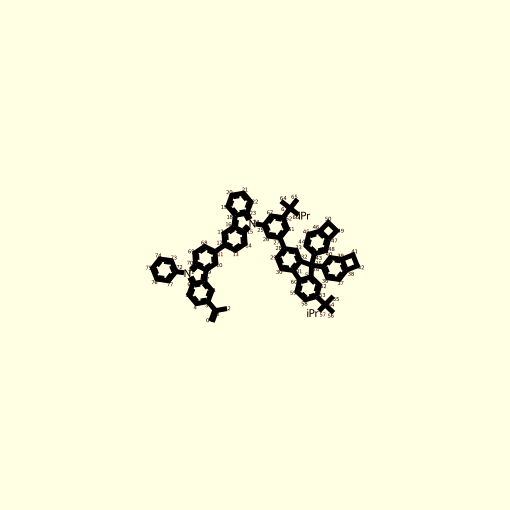 C=C(C)c1ccc2c(c1)c1cc(-c3ccc4c(c3)c3ccccc3n4-c3cc(-c4ccc5c(c4)C(c4ccc6c(c4)CC6)(c4ccc6c(c4)CC6)c4cc(C(C)(C)C(C)C)ccc4-5)cc(C(C)(C)C(C)C)c3)ccc1n2-c1ccccc1